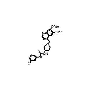 COc1cc2nccc(CN3CCC(NC(=O)Nc4cccc(Cl)c4)CC3)c2cc1OC